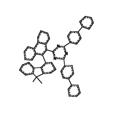 CC1(C)c2ccccc2-c2c(-c3c(-c4nc(-c5ccc(-c6ccccc6)cc5)nc(-c5ccc(-c6ccccc6)cc5)n4)c4ccccc4c4ccccc34)cccc21